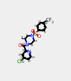 C[C@H]1CN(S(=O)(=O)c2ccc(C(F)(F)F)cc2)CCN1C(=O)c1cc(Cl)ccn1